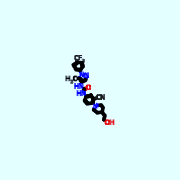 Cc1c(NC(=O)Nc2ccc(N3CCC(CCO)CC3)c(C#N)c2)cnn1-c1ccc(C(F)(F)F)cc1